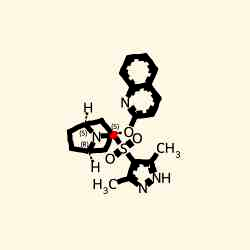 Cc1n[nH]c(C)c1S(=O)(=O)CN1[C@@H]2CC[C@H]1C[C@H](Oc1ccc3ccccc3n1)C2